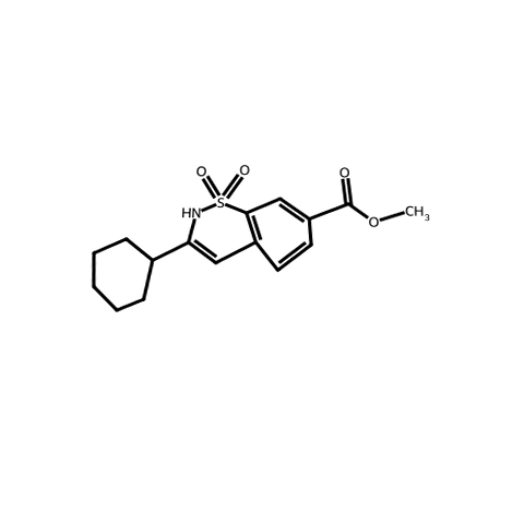 COC(=O)c1ccc2c(c1)S(=O)(=O)NC(C1CCCCC1)=C2